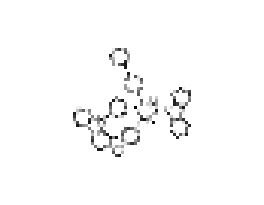 c1ccc(-c2ccc(-c3nc(-c4ccc5oc6ccc7c8ccccc8n(-c8ccccc8)c7c6c5c4)nc(-n4c5ccccc5c5ccccc54)n3)cc2)cc1